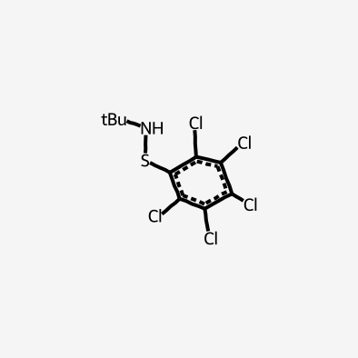 CC(C)(C)NSc1c(Cl)c(Cl)c(Cl)c(Cl)c1Cl